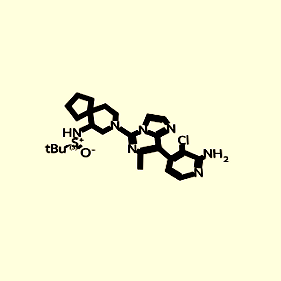 Cc1nc(N2CCC3(CCCC3)C(N[S@+]([O-])C(C)(C)C)C2)n2ccnc2c1-c1ccnc(N)c1Cl